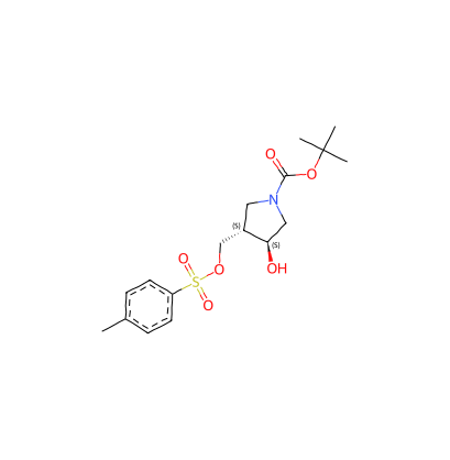 Cc1ccc(S(=O)(=O)OC[C@@H]2CN(C(=O)OC(C)(C)C)C[C@H]2O)cc1